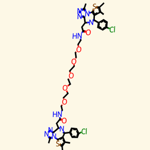 Cc1sc2c(c1C)C(c1ccc(Cl)cc1)=NC(CC(=O)NCCOCCOCCOCCOCCOCCNC(=O)CC1N=C(c3ccc(Cl)cc3)c3c(sc(C)c3C)-n3c(C)nnc31)c1nnc(C)n1-2